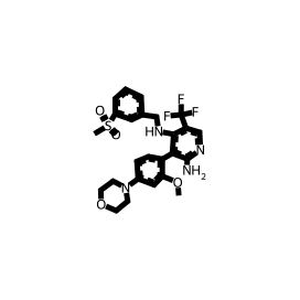 COc1cc(N2CCOCC2)ccc1-c1c(N)ncc(C(F)(F)F)c1NCc1cccc(S(C)(=O)=O)c1